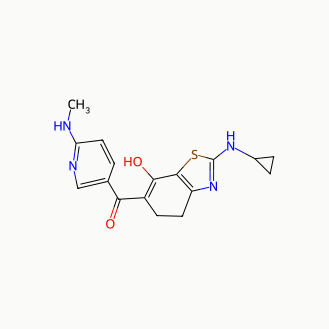 CNc1ccc(C(=O)C2=C(O)c3sc(NC4CC4)nc3CC2)cn1